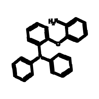 Pc1ccccc1Oc1ccccc1P(c1ccccc1)c1ccccc1